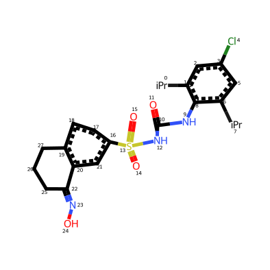 CC(C)c1cc(Cl)cc(C(C)C)c1NC(=O)NS(=O)(=O)c1ccc2c(c1)/C(=N/O)CCC2